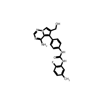 Cc1ccc(F)c(NC(=O)Nc2ccc(-c3c(CO)cn4ncnc(N)c34)cc2)c1